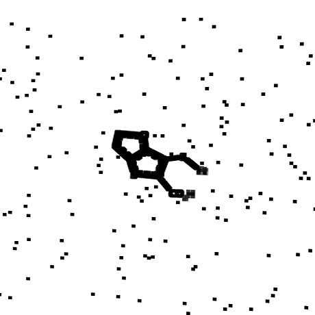 CCSc1c(C(=O)O)sc2ccoc12